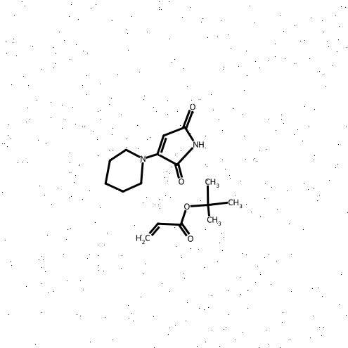 C=CC(=O)OC(C)(C)C.O=C1C=C(N2CCCCC2)C(=O)N1